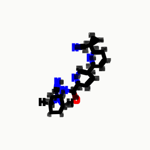 N#CN1[C@H]2CC[C@@H]1[C@H](NC(=O)c1ccc(-c3cccc(C4(C#N)CC4)n3)cn1)C2